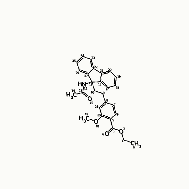 CCOC(=O)c1ccc(CCC2(NC(C)=O)c3ccccc3-c3ccccc32)cc1OC